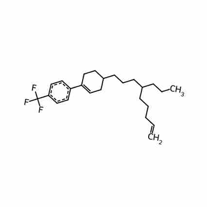 C=CCCCC(CCC)CCCC1CC=C(c2ccc(C(F)(F)F)cc2)CC1